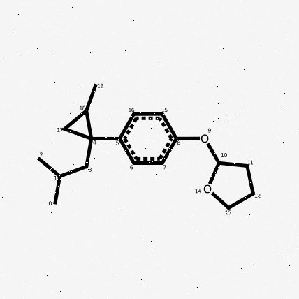 CC(C)CC1(c2ccc(OC3CCCO3)cc2)CC1C